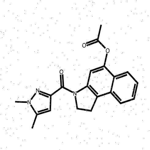 CC(=O)Oc1cc2c(c3ccccc13)CCN2C(=O)c1cc(C)n(C)n1